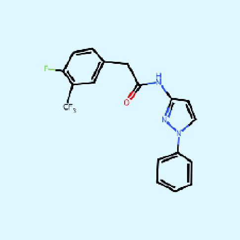 O=C(Cc1ccc(F)c(C(F)(F)F)c1)Nc1ccn(-c2ccccc2)n1